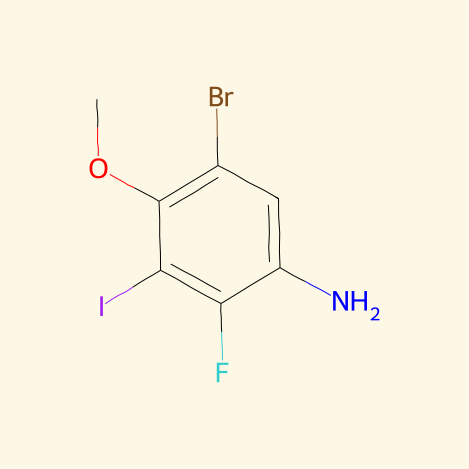 COc1c(Br)cc(N)c(F)c1I